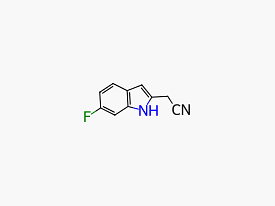 N#CCc1cc2ccc(F)cc2[nH]1